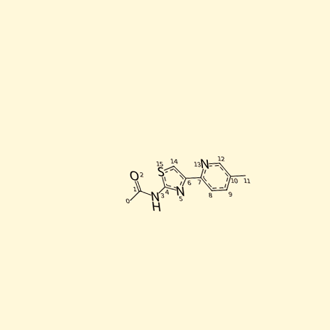 CC(=O)Nc1nc(-c2ccc(C)cn2)cs1